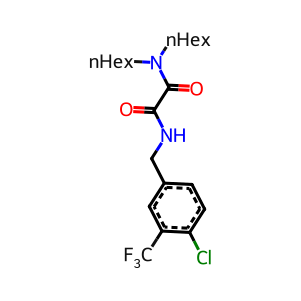 CCCCCCN(CCCCCC)C(=O)C(=O)NCc1ccc(Cl)c(C(F)(F)F)c1